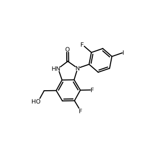 O=c1[nH]c2c(CO)cc(F)c(F)c2n1-c1ccc(I)cc1F